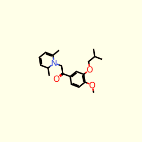 COc1ccc(C(=O)CN2C(C)=CC=CC2C)cc1OCC(C)C